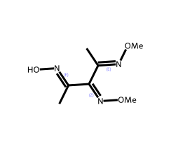 CO/N=C(C(/C)=N/O)\C(C)=N\OC